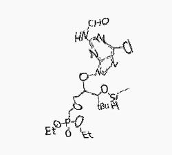 CCOP(=O)(COCC(On1cnc2c(Cl)nc(NC=O)nc21)C(O[SiH](C)C)C(C)(C)C)OCC